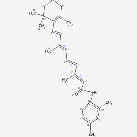 CC1=C(/C=C/C(C)=C/C=C/C(C)=C/C(=O)Nc2ccc(C)cc2C)C(C)(C)CCC1